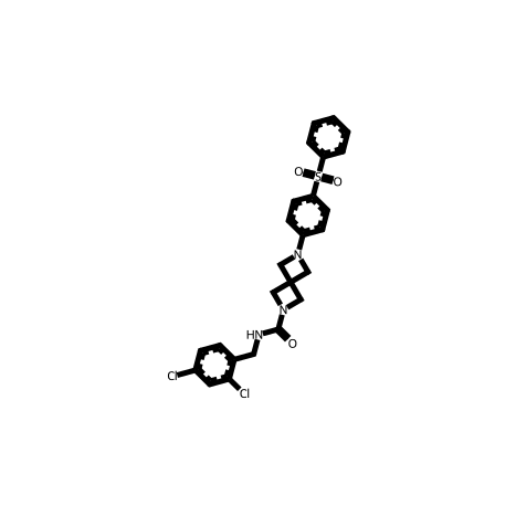 O=C(NCc1ccc(Cl)cc1Cl)N1CC2(C1)CN(c1ccc(S(=O)(=O)c3ccccc3)cc1)C2